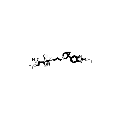 C/C=C(\C)c1nnc(SCCCN2CC3CC3(c3ccc4sc(C)nc4c3)C2)n1C